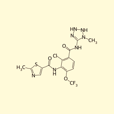 Cc1ncc(C(=O)Nc2c(OC(F)(F)F)ccc(C(=O)NC3=NNNN3C)c2Cl)s1